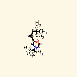 CC(C)(C)CC1CC1C1CN(C(C)(C)C)CCO1